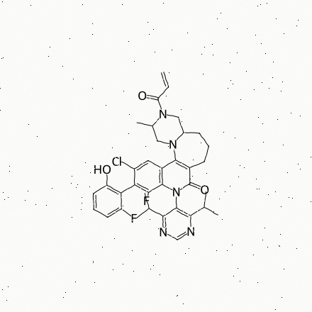 C=CC(=O)N1CC2CCCc3c(c4cc(Cl)c(-c5c(O)cccc5F)c(F)c4n(-c4c(C(C)C)ncnc4C(C)C)c3=O)N2CC1C